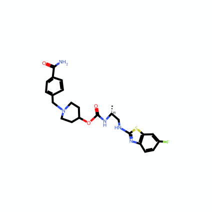 C[C@H](CNc1nc2ccc(F)cc2s1)NC(=O)OC1CCN(Cc2ccc(C(N)=O)cc2)CC1